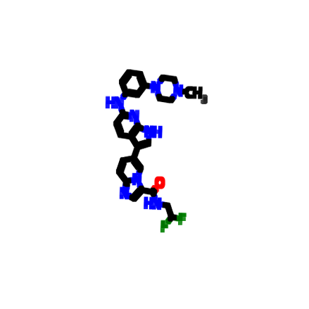 CN1CCN(c2cccc(Nc3ccc4c(-c5ccc6ncc(C(=O)NCC(F)F)n6c5)c[nH]c4n3)c2)CC1